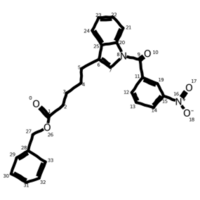 O=C(CCCCc1cn(C(=O)c2cccc([N+](=O)[O-])c2)c2ccccc12)OCc1ccccc1